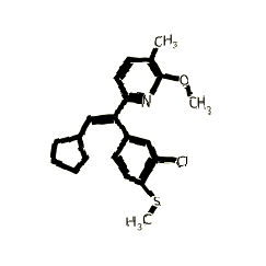 COc1nc(C(=CC2CCCC2)c2ccc(SC)c(Cl)c2)ccc1C